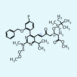 COOSN(C)c1nc(-c2ccc(F)cc2OCc2ccccc2)c(/C=C/C(=O)C[C@H](CC(=O)OC)O[Si](C)(C)C(C)(C)C)c(C(C)C)n1